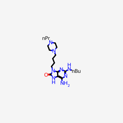 CCCCNc1nc(N)c2[nH]c(=O)n(CCCCN3CCN(CCC)CC3)c2n1